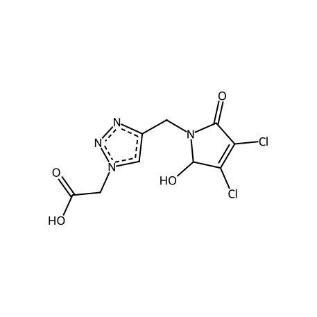 O=C(O)Cn1cc(CN2C(=O)C(Cl)=C(Cl)C2O)nn1